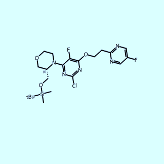 CC(C)(C)[Si](C)(C)OC[C@@H]1COCCN1c1nc(Cl)nc(OCCc2ncc(F)cn2)c1F